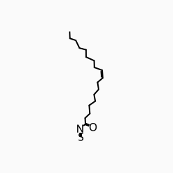 CCCCCCCC/C=C\CCCCCCCC(=O)N=S